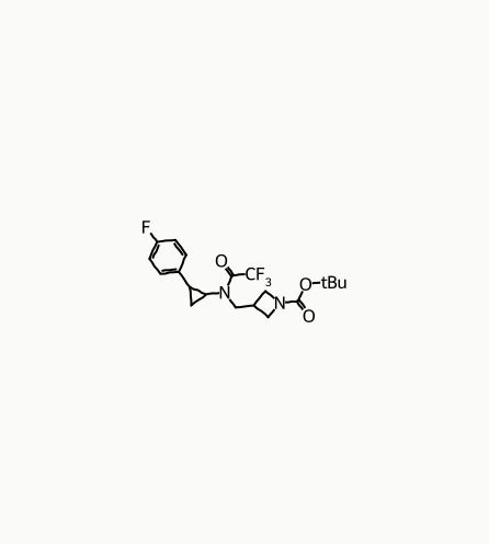 CC(C)(C)OC(=O)N1CC(CN(C(=O)C(F)(F)F)C2CC2c2ccc(F)cc2)C1